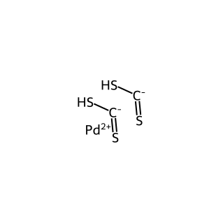 S=[C-]S.S=[C-]S.[Pd+2]